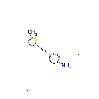 Cc1ccc(C#Cc2ccc(N)cc2)s1